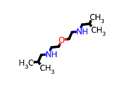 CC(C)CNCCOCCNCC(C)C